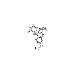 COc1ccc2c(c1)OCC(SC)(c1cccc(F)c1)C2=O